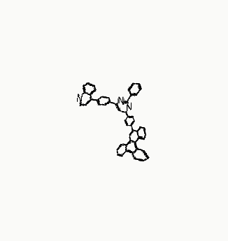 c1ccc(-c2nc(-c3ccc(-c4ccnc5ccccc45)cc3)cc(-c3ccc(-c4cc5c6ccccc6c6ccccc6c5c5ccccc45)cc3)n2)cc1